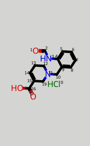 Cl.O=CNc1ccccc1CN1CCC=C(C(=O)O)C1